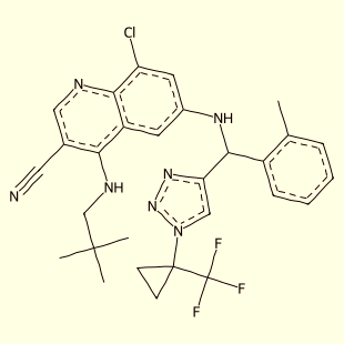 Cc1ccccc1C(Nc1cc(Cl)c2ncc(C#N)c(NCC(C)(C)C)c2c1)c1cn(C2(C(F)(F)F)CC2)nn1